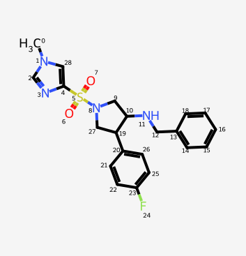 Cn1cnc(S(=O)(=O)N2CC(NCc3ccccc3)C(c3ccc(F)cc3)C2)c1